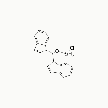 Cl[SiH2]OC(C1C=Cc2ccccc21)C1C=Cc2ccccc21